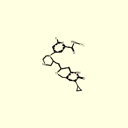 CNC(=O)c1cc(N2CCNCC2CC2Cc3[nH]c(=O)c(C4CC4)cc3CO2)cc(F)n1